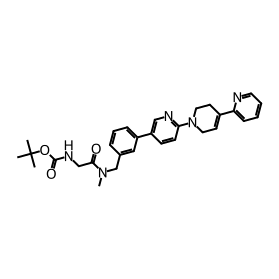 CN(Cc1cccc(-c2ccc(N3CC=C(c4ccccn4)CC3)nc2)c1)C(=O)CNC(=O)OC(C)(C)C